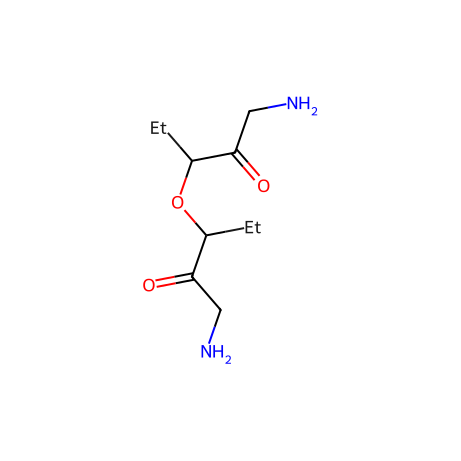 CCC(OC(CC)C(=O)CN)C(=O)CN